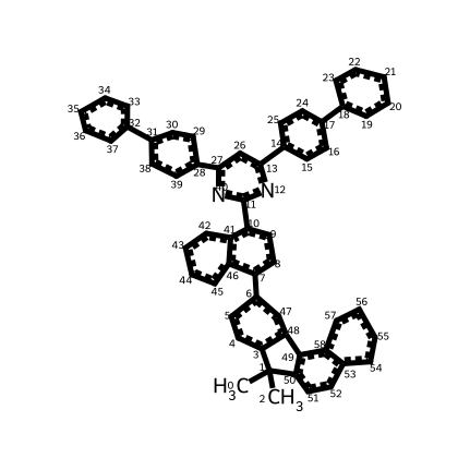 CC1(C)c2ccc(-c3ccc(-c4nc(-c5ccc(-c6ccccc6)cc5)cc(-c5ccc(-c6ccccc6)cc5)n4)c4ccccc34)cc2-c2c1ccc1ccccc21